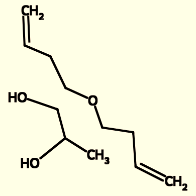 C=CCCOCCC=C.CC(O)CO